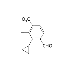 Cc1c(C(=O)O)ccc(C=O)c1C1CC1